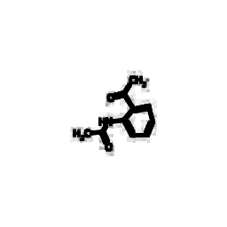 [CH2]C(=O)c1ccccc1NC(C)=O